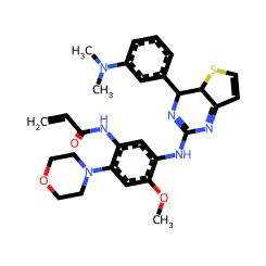 C=CC(=O)Nc1cc(NC2=NC(c3cccc(N(C)C)c3)C3SC=CC3=N2)c(OC)cc1N1CCOCC1